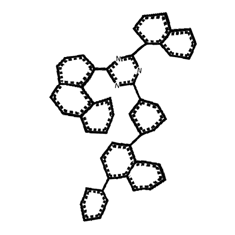 c1ccc(-c2ccc(-c3cccc(-c4nc(-c5cccc6ccccc56)nc(-c5cccc6ccc7ccccc7c56)n4)c3)c3ccccc23)cc1